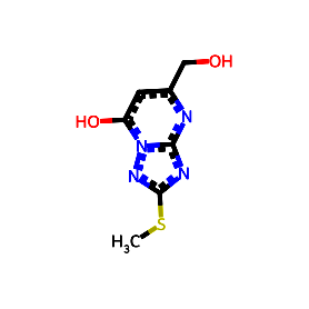 CSc1nc2nc(CO)cc(O)n2n1